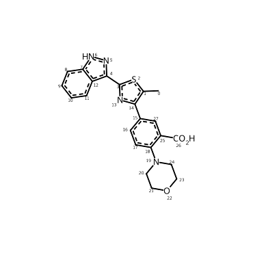 Cc1sc(-c2n[nH]c3ccccc23)nc1-c1ccc(N2CCOCC2)c(C(=O)O)c1